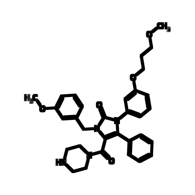 COCCCOc1cccc(-n2c(-c3ccccc3)c(C(=O)N3CCNCC3)n(Cc3cccc(OC)c3)c2=O)c1